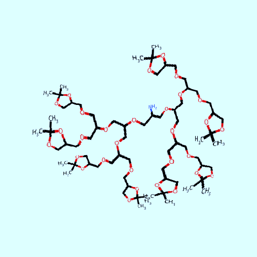 CC1(C)OCC(COCC(COCC2COC(C)(C)O2)OCC(COC(COCC2COC(C)(C)O2)COCC2COC(C)(C)O2)OCC(N)COC(COC(COCC2COC(C)(C)O2)COCC2COC(C)(C)O2)COC(COCC2COC(C)(C)O2)COCC2COC(C)(C)O2)O1